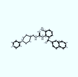 Nc1cccc(C(=O)c2ccc3ccccc3c2)c1NC(=O)NCC1CCN(c2ccncc2)CC1